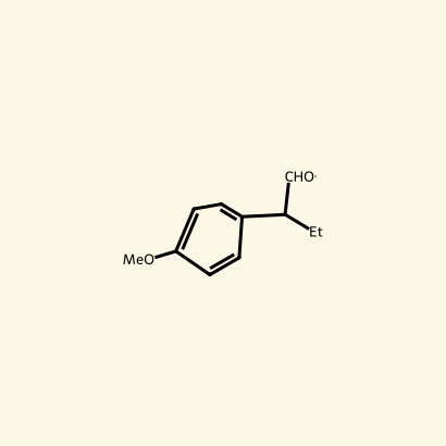 CCC([C]=O)c1ccc(OC)cc1